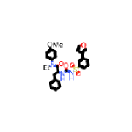 CCN(C(=O)C(Cc1ccccc1)NC(=O)NS(=O)(=O)c1cccc(-c2ccoc2)c1)c1ccc(OC)cc1